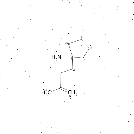 C=C(C)CCC1(N)CCCC1